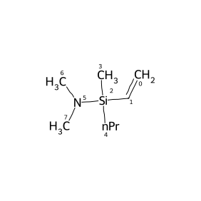 C=C[Si](C)(CCC)N(C)C